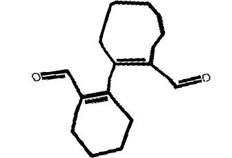 O=CC1=C(C2=C(C=O)CCCC2)CCCC1